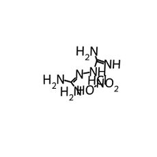 Cl.N=C(N)NN=C(N)N.O=[N+]([O-])O